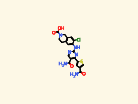 NC(=O)c1csc(-c2nc(Nc3cc4c(cc3Cl)CN(C(=O)O)CC4)ncc2C(N)=O)c1